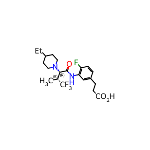 CCC1CCN([C@@H](C(=O)Nc2cc(CCC(=O)O)ccc2F)[C@@H](C)C(F)(F)F)CC1